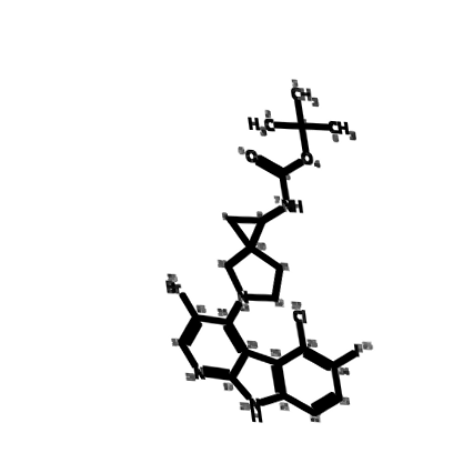 CC(C)(C)OC(=O)NC1CC12CCN(c1c(Br)cnc3[nH]c4[c]cc(F)c(Cl)c4c13)C2